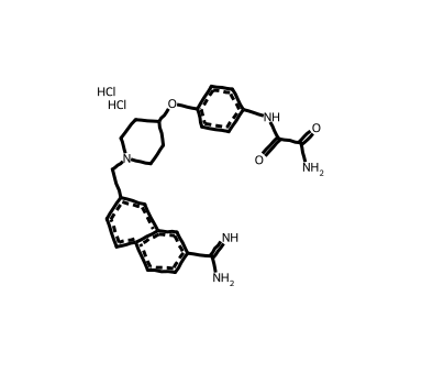 Cl.Cl.N=C(N)c1ccc2ccc(CN3CCC(Oc4ccc(NC(=O)C(N)=O)cc4)CC3)cc2c1